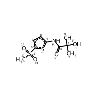 CC(C)(O)C(=O)Nc1ccc(S(C)(=O)=O)s1